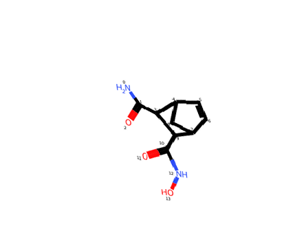 NC(=O)C1C2C=CC(C2)C1C(=O)NO